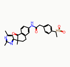 Cc1cc(C2(C)CCc3cc(NC(=O)Cc4ccc(C(C)[SH](=O)=O)cc4)ccc3C2=O)nc(C)n1